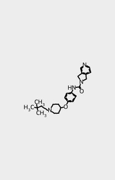 CC(C)(C)CCN1CCC(Oc2ccc(NC(=O)N3Cc4ccncc4C3)cc2)CC1